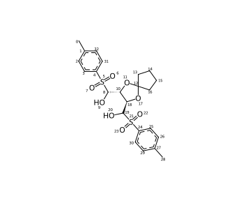 Cc1ccc(S(=O)(=O)C(O)[C@@H]2OC3(CCCC3)O[C@H]2C(O)S(=O)(=O)c2ccc(C)cc2)cc1